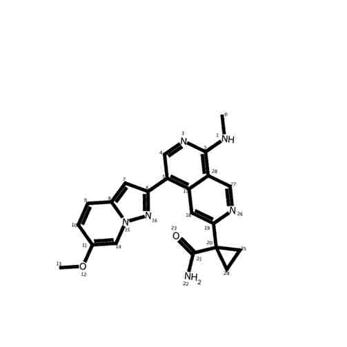 CNc1ncc(-c2cc3ccc(OC)cn3n2)c2cc(C3(C(N)=O)CC3)ncc12